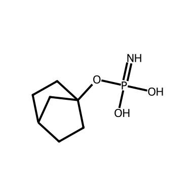 N=P(O)(O)OC12CCC(CC1)C2